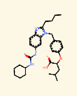 CCCCc1nc2ccc(NC(=O)NC3CCCCC3)cc2n1Cc1ccc(OC(CC(C)C)C(=O)O)cc1